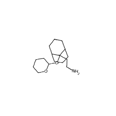 NCCC1(OC2CCCCO2)C2CCCC1CCC2